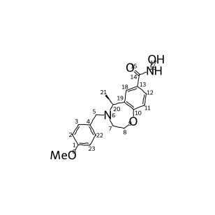 COc1ccc(CN2CCOc3ccc(C(=O)NO)cc3[C@@H]2C)cc1